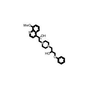 COc1cccc2c([C@H](O)CN3CCN(CC(O)COc4ccccc4)CC3)ccnc12